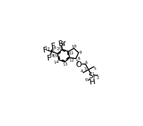 C[SiH](C)C(C)(C)CO[C@H]1CCc2c1ccc(C(F)(F)F)c2Br